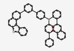 c1ccc(-c2ccc(N(c3ccc(-c4cccc(-c5ccc6ccc7oc8ccccc8c7c6c5)c4)cc3)c3ccccc3-c3ccc4ccccc4c3)cc2)cc1